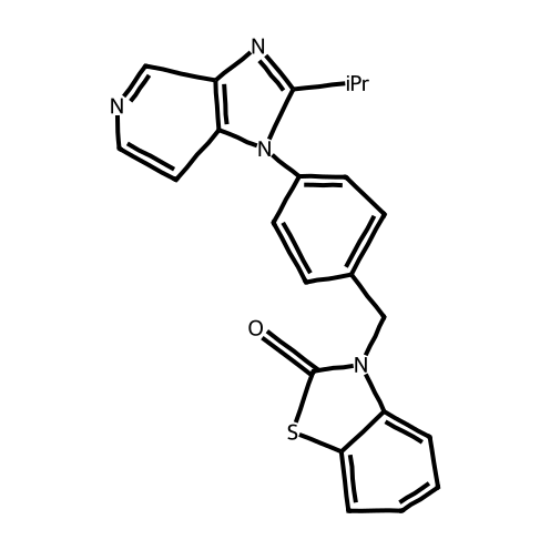 CC(C)c1nc2cnccc2n1-c1ccc(Cn2c(=O)sc3ccccc32)cc1